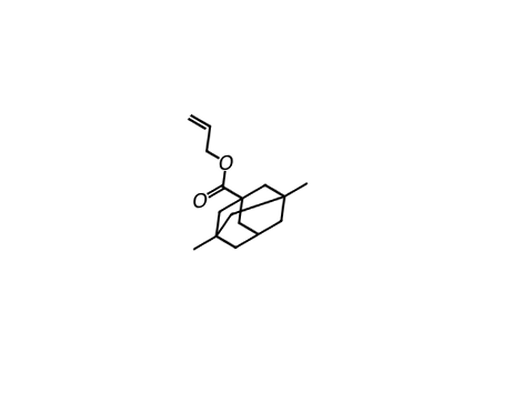 C=CCOC(=O)C12CC3CC(C)(CC(C)(C3)C1)C2